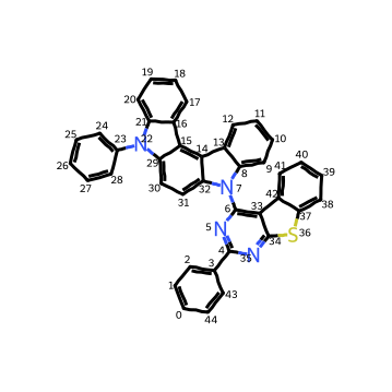 c1ccc(-c2nc(-n3c4ccccc4c4c5c6ccccc6n(-c6ccccc6)c5ccc43)c3c(n2)sc2ccccc23)cc1